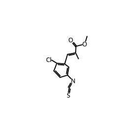 COC(=O)/C(C)=C/c1cc(N=C=S)ccc1Cl